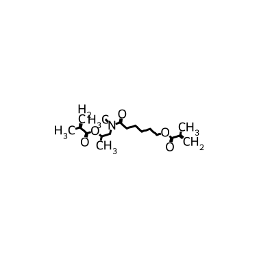 C=C(C)C(=O)OCCCCCC(=O)N(C)CC(C)OC(=O)C(=C)C